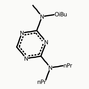 CCCN(CCC)c1ncnc(N(C)OCC(C)C)n1